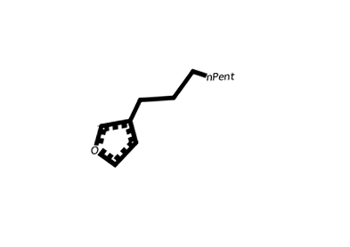 CCCCCCCCc1[c]occ1